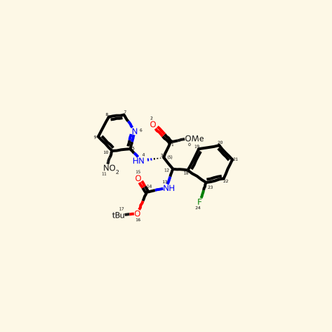 COC(=O)[C@@H](Nc1ncccc1[N+](=O)[O-])C(NC(=O)OC(C)(C)C)c1ccccc1F